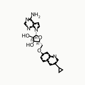 Nc1ncnc2c1ccn2[C@@H]1O[C@H](COc2ccc3cc(C4CC4)cnc3c2)[C@@H](O)[C@H]1O